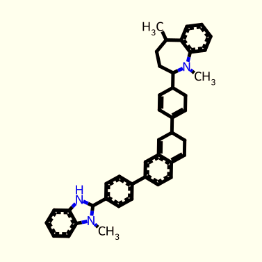 CC1CCC(C2C=CC(C3C=c4cc(-c5ccc(C6Nc7ccccc7N6C)cc5)ccc4=CC3)=CC2)N(C)c2ccccc21